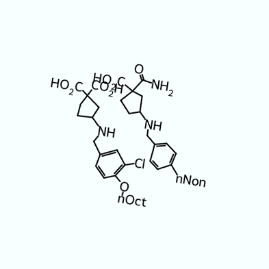 CCCCCCCCCc1ccc(CNC2CCC(C(N)=O)(C(=O)O)C2)cc1.CCCCCCCCOc1ccc(CNC2CCC(C(=O)O)(C(=O)O)C2)cc1Cl